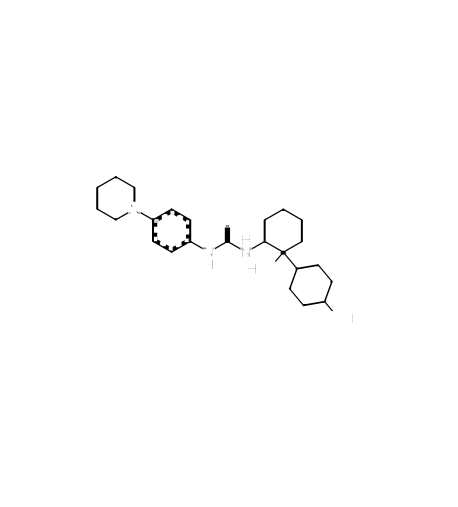 CC1CCC(C2(C)CCCCC2NC(=O)Nc2ccc(N3CCCCC3)cc2)CC1